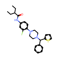 CCC(CC)C(=O)Nc1ccc(N2CCN(C(c3ccccc3)c3cccs3)CC2)c(F)c1